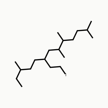 CCC(C)CCC(CCI)CC(C)C(C)CCC(C)C